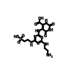 NCCNc1nc(NCCS(=O)(=O)O)nc(Nc2c(C(=O)O)[nH]c(=O)[nH]c2=O)n1